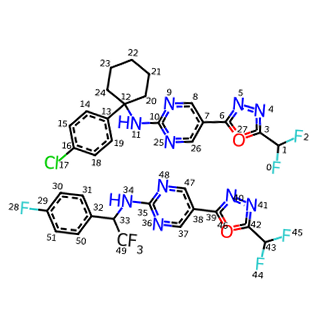 FC(F)c1nnc(-c2cnc(NC3(c4ccc(Cl)cc4)CCCCC3)nc2)o1.Fc1ccc(C(Nc2ncc(-c3nnc(C(F)F)o3)cn2)C(F)(F)F)cc1